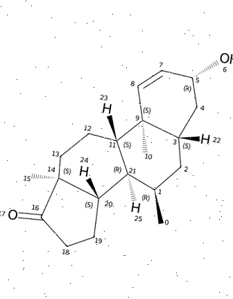 C[C@@H]1C[C@H]2C[C@@H](O)C=C[C@]2(C)[C@H]2CC[C@]3(C)C(=O)CC[C@H]3[C@H]12